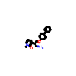 Cn1cccc(C(CN)COC2CCC(c3ccccc3)CC2)c1=O